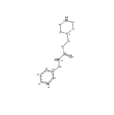 O=C(CCC1CCNCC1)NCc1cccnc1